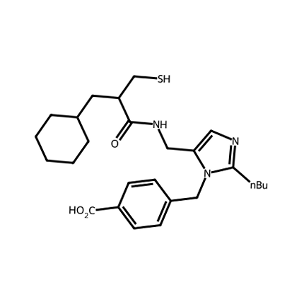 CCCCc1ncc(CNC(=O)C(CS)CC2CCCCC2)n1Cc1ccc(C(=O)O)cc1